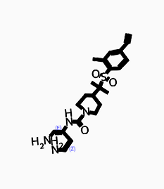 C#Cc1ccc(S(=O)(=O)C(C)(C)C2CCN(C(=O)NC(/C=C\N)=C/N)CC2)c(C)c1